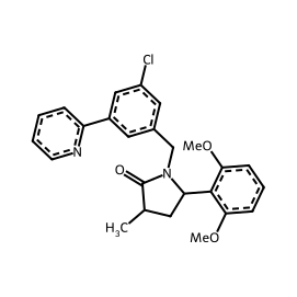 COc1cccc(OC)c1C1CC(C)C(=O)N1Cc1cc(Cl)cc(-c2ccccn2)c1